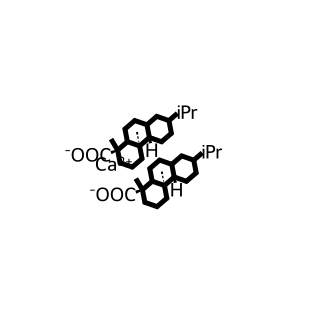 CC(C)C1CC[C@H]2C(CCC3[C@](C)(C(=O)[O-])CCC[C@@]32C)C1.CC(C)C1CC[C@H]2C(CCC3[C@](C)(C(=O)[O-])CCC[C@@]32C)C1.[Ca+2]